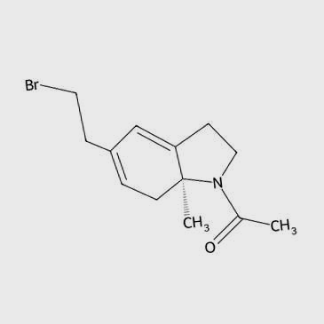 CC(=O)N1CCC2=CC(CCBr)=CC[C@@]21C